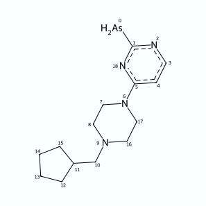 [AsH2]c1nccc(N2CCN(CC3CCCC3)CC2)n1